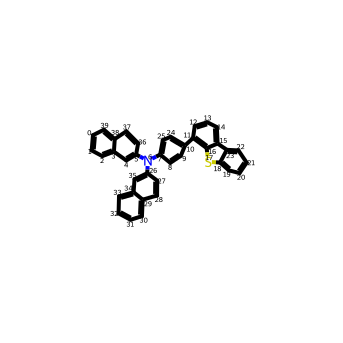 c1ccc2cc(N(c3ccc(-c4cccc5c4sc4ccccc45)cc3)c3ccc4ccccc4c3)ccc2c1